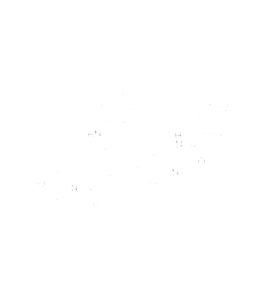 O=C(Nc1cc(-c2cc(Nc3ccccc3)cc(C(=O)N3CCOCC3)c2)ccn1)C1CCOCC1